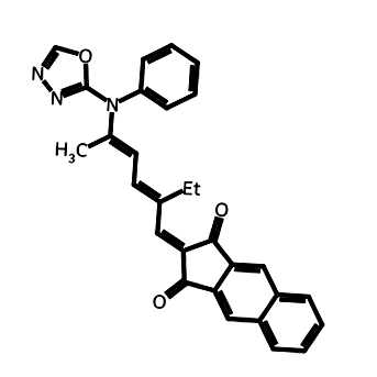 CC/C(C=C1C(=O)c2cc3ccccc3cc2C1=O)=C\C=C(/C)N(c1ccccc1)c1nnco1